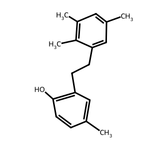 Cc1ccc(O)c(CCc2cc(C)cc(C)c2C)c1